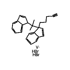 Br.Br.C#CCCCC1(C(C)(C)C2C=Cc3ccccc32)C=Cc2ccccc21.[V]